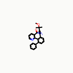 COC(C)(C)C#Cc1cccc(-c2ccccc2)c1-c1ncccc1C(N)=O